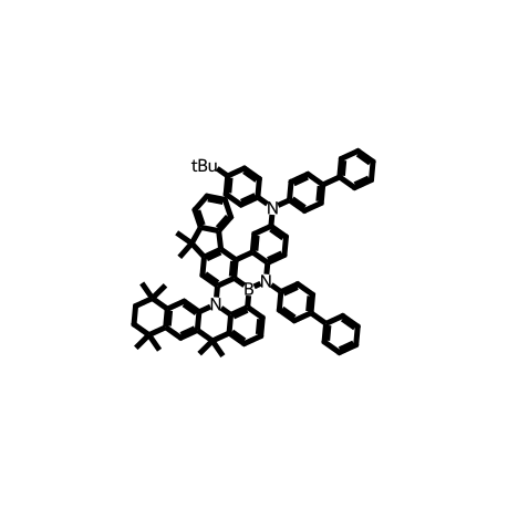 CC(C)(C)c1ccc(N(c2ccc(-c3ccccc3)cc2)c2ccc3c(c2)-c2c4c(cc5c2-c2ccccc2C5(C)C)N2c5cc6c(cc5C(C)(C)c5cccc(c52)B4N3c2ccc(-c3ccccc3)cc2)C(C)(C)CCC6(C)C)cc1